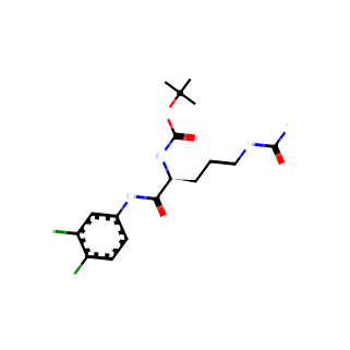 CC(C)(C)OC(=O)N[C@@H](CCCNC(N)=O)C(=O)Nc1ccc(Cl)c(Cl)c1